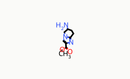 COC(=O)c1cn2c(n1)CCC(N)C2